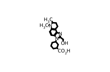 CC1CCc2c(ccc3c2nc(CO)n3C2CCCC(C(=O)O)C2)N1C